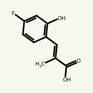 C/C(=C\c1ccc(F)cc1O)C(=O)O